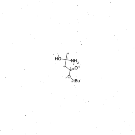 CC(N)(O)CC(=O)OC(C)(C)C